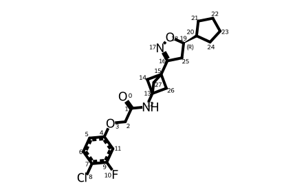 O=C(COc1ccc(Cl)c(F)c1)NC12CC(C3=NO[C@@H](C4CCCC4)C3)(C1)C2